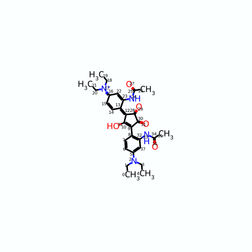 CCN(CC)c1ccc(C2=C(O)/C(=C3\C=CC(=[N+](CC)CC)C=C3NC(C)=O)C(=O)C2=O)c(NC(C)=O)c1